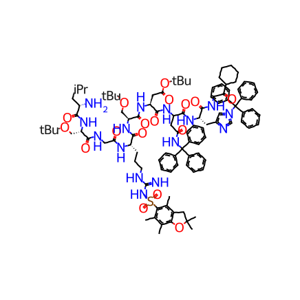 Cc1c(C)c(S(=O)(=O)NC(=N)NCCC[C@H](NC(=O)CNC(=O)[C@H](COC(C)(C)C)NC(=O)[C@@H](N)CC(C)C)C(=O)N[C@@H](COC(C)(C)C)C(=O)N[C@@H](CC(=O)OC(C)(C)C)C(=O)NC(CC(=O)NC(c2ccccc2)(c2ccccc2)c2ccccc2)C(=O)N[C@@H](Cc2cn(C(c3ccccc3)(c3ccccc3)c3ccccc3)cn2)C(=O)NCC(=O)C2CCCCC2)c(C)c2c1OC(C)(C)C2